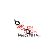 CO[C@H]1O[C@H](COS(=O)(=O)c2ccc(C)cc2)[C@@H](O)[C@H](O)[C@H]1NC(C)=O